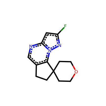 Fc1cc2ncc3c(n2n1)C1(CCOCC1)CC3